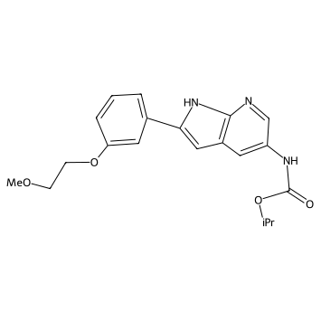 COCCOc1cccc(-c2cc3cc(NC(=O)OC(C)C)cnc3[nH]2)c1